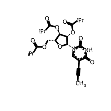 CC#Cc1cn([C@@H]2O[C@H](COC(=O)C(C)C)[C@@H](OC(=O)C(C)C)[C@@H]2OC(=O)C(C)C)c(=O)[nH]c1=O